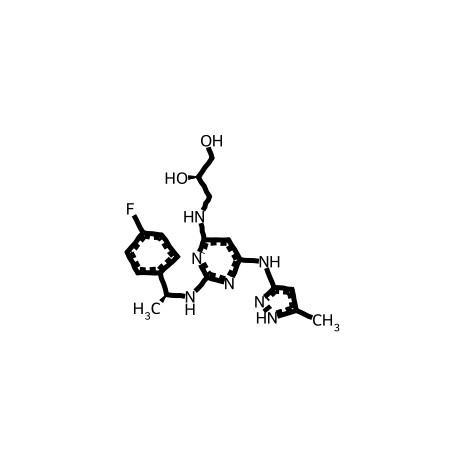 Cc1cc(Nc2cc(NC[C@@H](O)CO)nc(N[C@@H](C)c3ccc(F)cc3)n2)n[nH]1